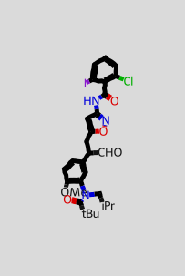 COc1ccc(C(C=O)Cc2cc(NC(=O)c3c(Cl)cccc3I)no2)cc1N(CC(C)C)C(=O)C(C)(C)C